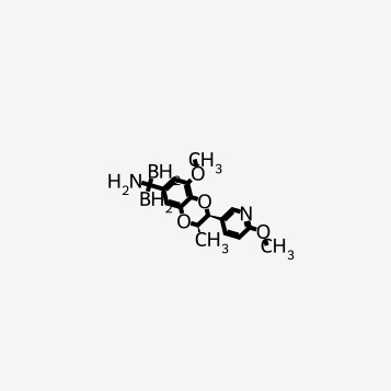 BC(B)(N)c1cc(OC)c2c(c1)O[C@@H](C)[C@H](c1ccc(OC)nc1)O2